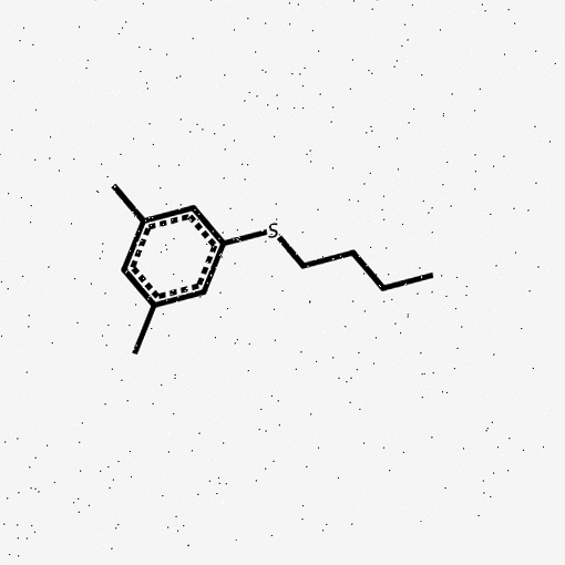 CCCCSc1cc(C)cc(C)c1